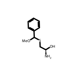 COC(SC[C@H](N)O)c1ccccc1